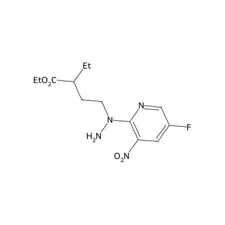 CCOC(=O)C(CC)CCN(N)c1ncc(F)cc1[N+](=O)[O-]